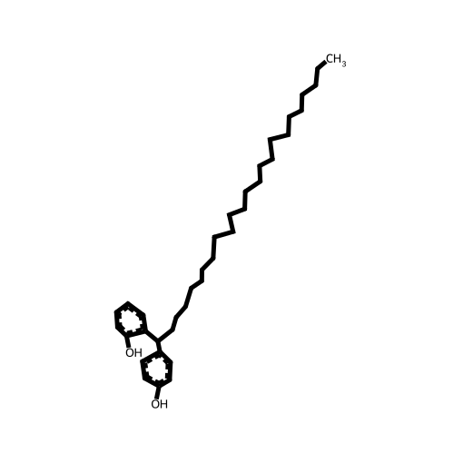 CCCCCCCCCCCCCCCCCCCCCCCC(c1ccc(O)cc1)c1ccccc1O